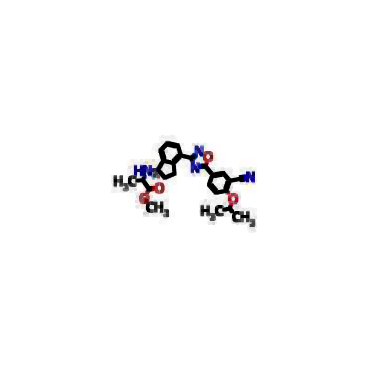 COC(=O)C(C)N[C@@H]1CCc2c(-c3noc(-c4ccc(OC(C)C)c(C#N)c4)n3)cccc21